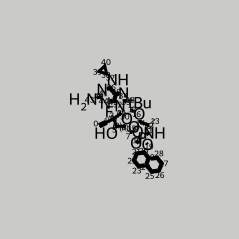 C#C[C@@]1(F)[C@H](O)[C@@H](COP(=O)(N[C@@H](C)C(=O)OCC(C)(C)C)Oc2cccc3ccccc23)O[C@H]1n1cnc2c(NC3CC3)nc(N)nc21